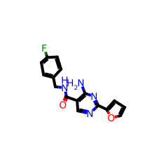 Nc1nc(-c2ccco2)ncc1C(=O)NCc1ccc(F)cc1